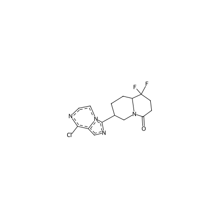 O=C1CCC(F)(F)C2CCC(c3ncc4c(Cl)nccn34)CN12